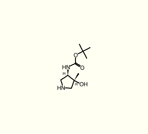 CC(C)(C)OC(=O)N[C@@H]1CNC[C@@]1(C)O